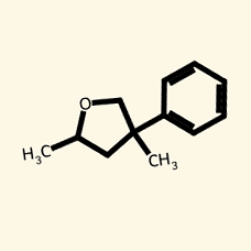 CC1CC(C)(c2ccccc2)CO1